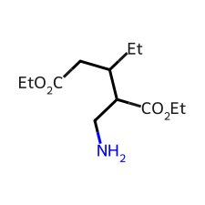 CCOC(=O)CC(CC)C(CN)C(=O)OCC